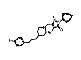 Cn1c(CN2CCC(CCCc3ccc(F)cc3)CC2)c(Br)c(=O)n1-c1ccccc1